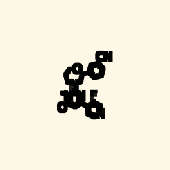 Cn1c(N2CCCO[C@@H](c3cccc(C#N)c3)C2)nc(-c2ccncc2F)cc1=O